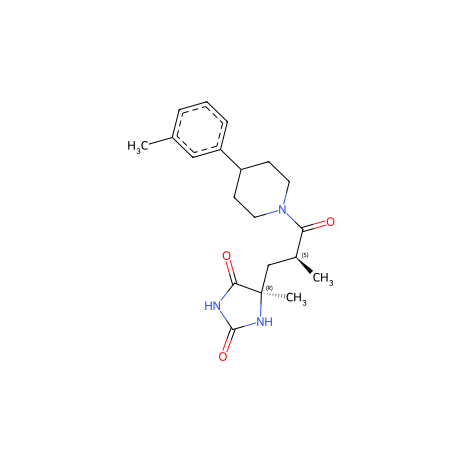 Cc1cccc(C2CCN(C(=O)[C@@H](C)C[C@@]3(C)NC(=O)NC3=O)CC2)c1